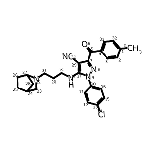 Cc1ccc(C(=O)c2nn(-c3ccc(Cl)cc3)c(NCCCN3CC4CCC3C4)c2C#N)cc1